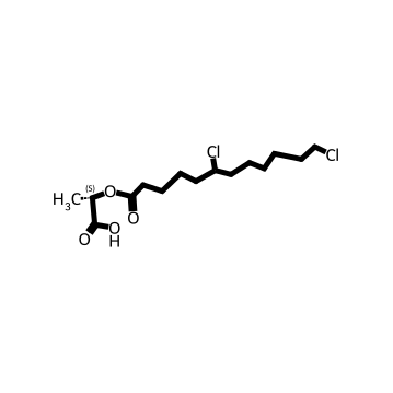 C[C@H](OC(=O)CCCCC(Cl)CCCCCCCl)C(=O)O